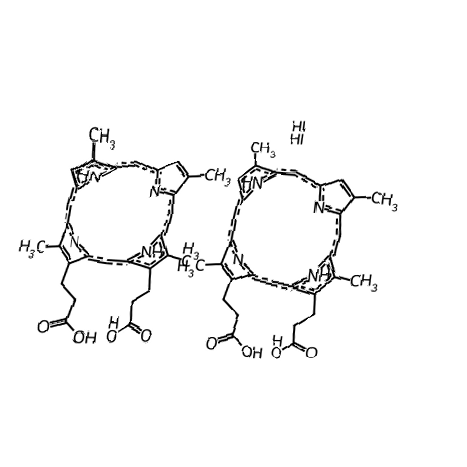 CC1=Cc2cc3[nH]c(cc4nc(cc5[nH]c(cc1n2)c(C)c5CCC(=O)O)C(CCC(=O)O)=C4C)cc3C.CC1=Cc2cc3[nH]c(cc4nc(cc5[nH]c(cc1n2)c(C)c5CCC(=O)O)C(CCC(=O)O)=C4C)cc3C.I.I